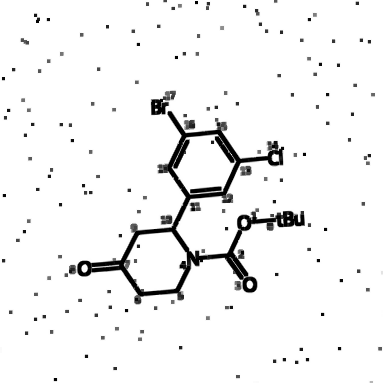 CC(C)(C)OC(=O)N1CCC(=O)CC1c1cc(Cl)cc(Br)c1